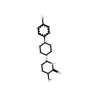 CCCC1CCC([C@H]2CC[C@H](c3ccc(CC)cc3)CC2)OC1=O